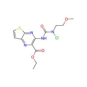 CCOC(=O)c1nc2ccsc2nc1NC(=O)N(Cl)CCOC